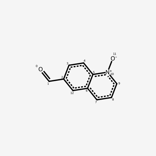 O=Cc1ccc2c(ccc[n+]2[O-])c1